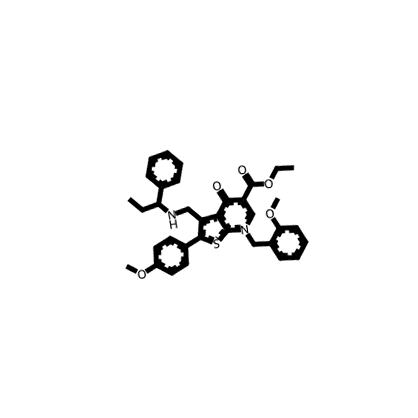 CCOC(=O)c1cn(Cc2ccccc2OC)c2sc(-c3ccc(OC)cc3)c(CNC(CC)c3ccccc3)c2c1=O